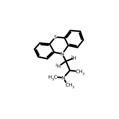 [2H]C([2H])(C(C)N(C)C)N1c2ccccc2Sc2ccccc21